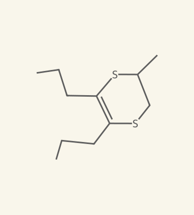 CCCC1=C(CCC)SC(C)CS1